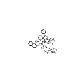 CN(C)NC(=O)C1(Cc2ccccc2)CCCN(C(=O)[C@@H](Cc2ccc3ccccc3c2)N(C)C(=O)C=CCC(C)(C)N)C1